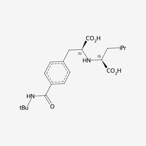 CC(C)C[C@H](N[C@@H](Cc1ccc(C(=O)NC(C)(C)C)cc1)C(=O)O)C(=O)O